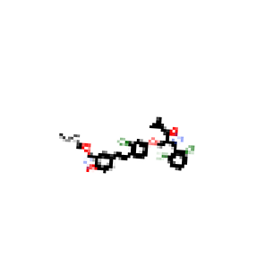 COCOc1noc2ccc(/C=C/c3ccc(OCC4C(c5c(Cl)cccc5Cl)=NOC4C4CC4)cc3Cl)cc12